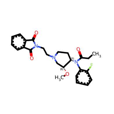 CCC(=O)N(c1ccccc1F)[C@H]1CCN(CCN2C(=O)c3ccccc3C2=O)C[C@H]1OC